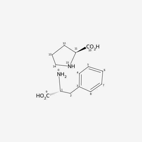 N[C@H](Cc1ccccc1)C(=O)O.O=C(O)[C@@H]1CCCN1